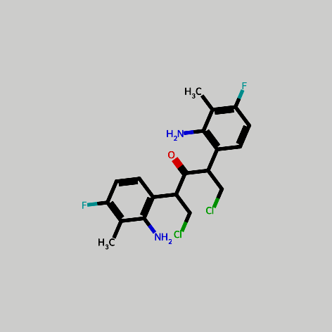 Cc1c(F)ccc(C(CCl)C(=O)C(CCl)c2ccc(F)c(C)c2N)c1N